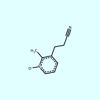 Cc1c(CCC#N)ccc[n+]1[O-]